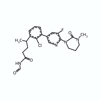 CC(CCC(=O)NC=O)c1cccc(-c2cnc(N3CCCN(C)C3=O)c(F)c2)c1Cl